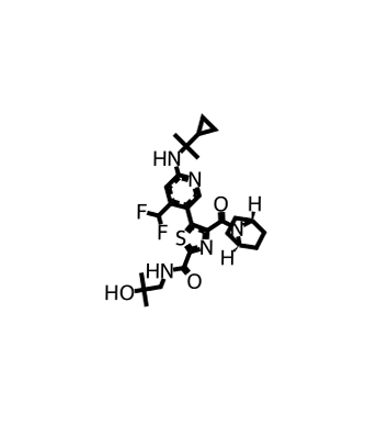 CC(C)(O)CNC(=O)c1nc(C(=O)N2[C@H]3CC[C@H]2CC3)c(-c2cnc(NC(C)(C)C3CC3)cc2C(F)F)s1